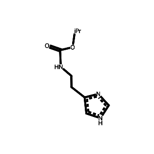 CC(C)OC(=O)NCCc1c[nH]cn1